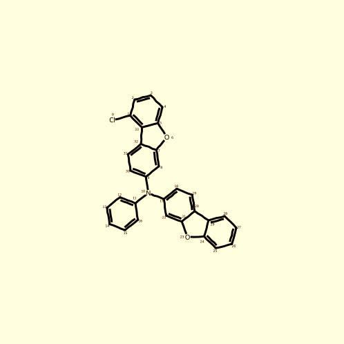 Clc1cccc2oc3cc(N(c4ccccc4)c4ccc5c(c4)oc4ccccc45)ccc3c12